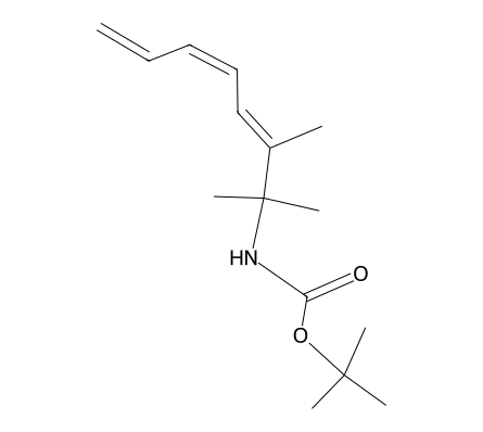 C=C/C=C\C=C(/C)C(C)(C)NC(=O)OC(C)(C)C